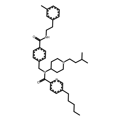 CCCCCc1ccc(C(=O)N(Cc2ccc(C(=O)NCCc3cccc(C)c3)cc2)C2CCN(CCC(C)C)CC2)nc1